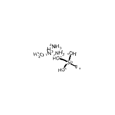 N.N.N.O.O[Si](O)(O)F